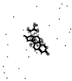 CC1C[C@H]2[C@@H]3CCC4=CC(=O)C=C[C@]4(C)[C@H]3CC[C@]2(C)[C@H]1C(=O)C(=O)O